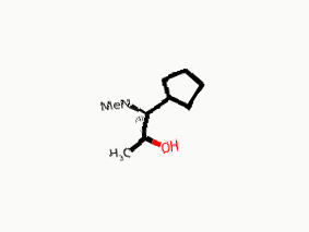 CN[C@H](C(C)O)C1CCCC1